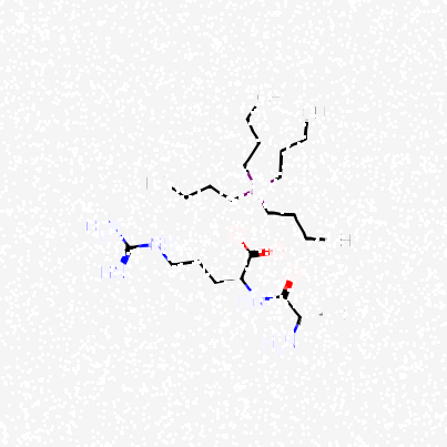 CCCC[P+](CCCC)(CCCC)CCCC.C[C@H](N)C(=O)N[C@@H](CCCNC(=N)N)C(=O)[O-]